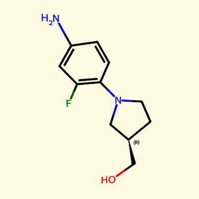 Nc1ccc(N2CC[C@@H](CO)C2)c(F)c1